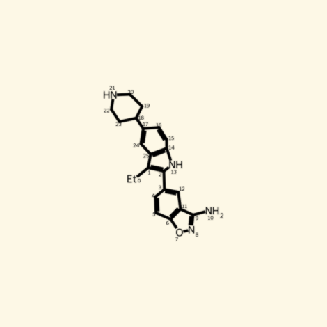 CCc1c(-c2ccc3onc(N)c3c2)[nH]c2ccc(C3CCNCC3)cc12